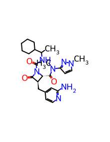 CC(NC(=O)N1C(=O)[C@H](Cc2ccnc(N)c2)[C@H]1C(=O)N(C)c1ccn(C)n1)C1CCCCC1